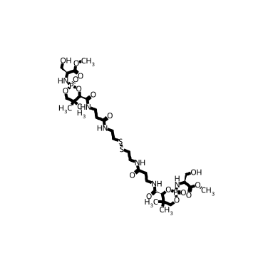 COC(=O)[C@H](CO)NP1(=O)OCC(C)(C)[C@H](C(=O)NCCC(=O)NCCSSCCNC(=O)CCNC(=O)[C@@H]2OP(=O)(N[C@@H](CO)C(=O)OC)OCC2(C)C)O1